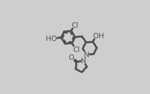 O=C1CCCN1N1CCC(O)C(Cc2c(Cl)cc(O)cc2Cl)C1